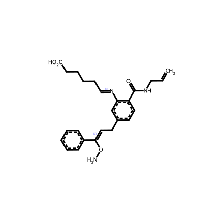 C=CCNC(=O)c1ccc(C/C=C(\ON)c2ccccc2)cc1/N=C/CCCCC(=O)O